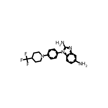 Nc1ccc2c(c1)nc(N)n2-c1ccc(N2CCC(C(F)(F)F)CC2)cc1